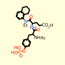 CCN(C(=O)C(CCC(=O)O)NC(=O)C(Cc1ccc(OP(=O)(O)O)cc1)NC(C)=O)c1cccc2c1CCCC2